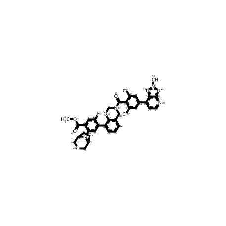 COC(=O)c1cc(F)c(-c2cccc3c2OCN(C(=O)c2c(Cl)cc(-c4ccnc5nn(C)nc45)cc2Cl)C3)cc1N1C2CCC1COC2